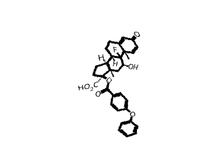 C[C@]12C=CC(=O)C=C1CC[C@H]1[C@@H]3CC[C@@](OC(=O)c4ccc(Oc5ccccc5)cc4)(C(=O)O)[C@@]3(C)C[C@H](O)C12F